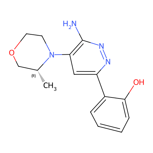 C[C@@H]1COCCN1c1cc(-c2ccccc2O)nnc1N